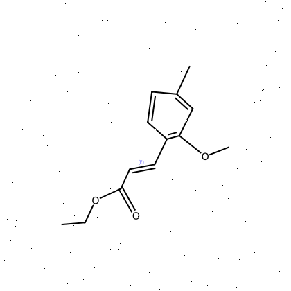 CCOC(=O)/C=C/c1ccc(C)cc1OC